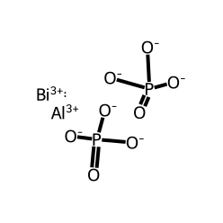 O=P([O-])([O-])[O-].O=P([O-])([O-])[O-].[Al+3].[Bi+3]